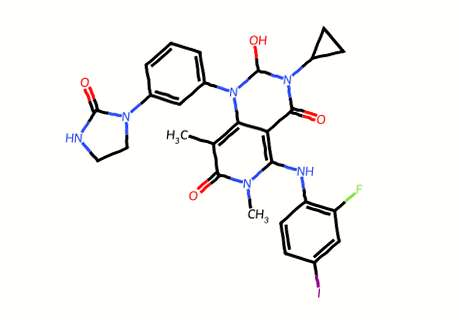 Cc1c2c(c(Nc3ccc(I)cc3F)n(C)c1=O)C(=O)N(C1CC1)C(O)N2c1cccc(N2CCNC2=O)c1